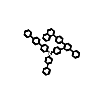 c1ccc(-c2ccc(-c3ccc(N(c4ccc(-c5ccccc5)cc4)c4ccc(-c5cc(-c6ccccc6)ccc5-c5ccc(-c6cccc7ccccc67)cc5)cc4)cc3)cc2)cc1